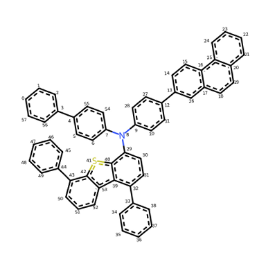 c1ccc(-c2ccc(N(c3ccc(-c4ccc5c(ccc6ccccc65)c4)cc3)c3ccc(-c4ccccc4)c4c3sc3c(-c5ccccc5)cccc34)cc2)cc1